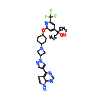 CC(C)(O)c1cc(OC2CCC(N3CC(n4cc(-c5ncnc6[nH]ccc56)cn4)C3)CC2)nc(C(F)(F)F)c1